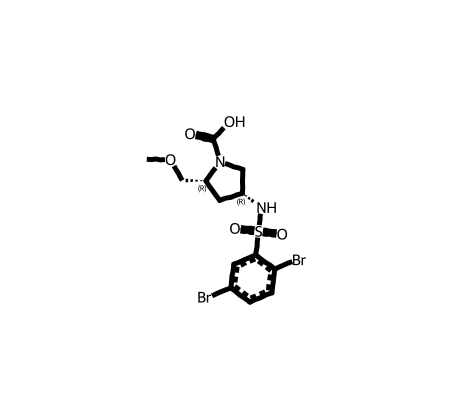 COC[C@H]1C[C@@H](NS(=O)(=O)c2cc(Br)ccc2Br)CN1C(=O)O